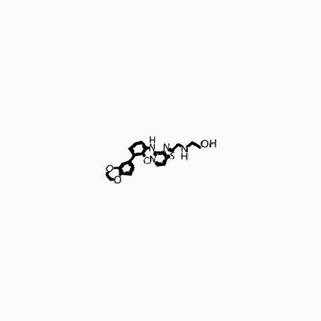 OCCNCc1nc2c(Nc3cccc(-c4ccc5c(c4)OCCO5)c3Cl)nccc2s1